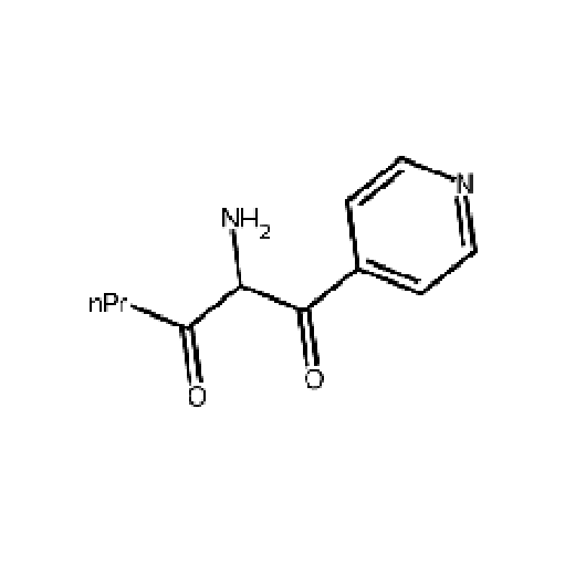 CCCC(=O)C(N)C(=O)c1ccncc1